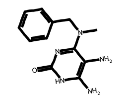 CN(Cc1ccccc1)c1nc(=O)[nH]c(N)c1N